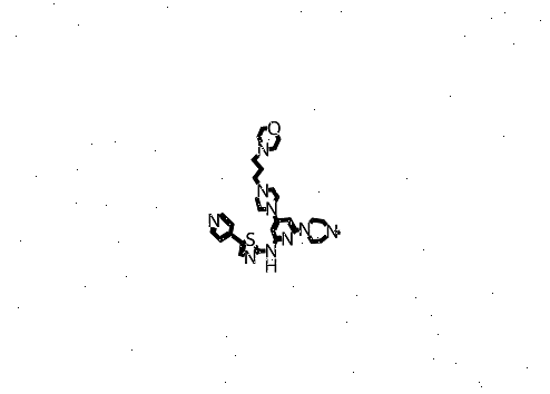 CN1CCN(c2cc(N3CCN(CCCN4CCOCC4)CC3)cc(Nc3ncc(-c4ccncc4)s3)n2)CC1